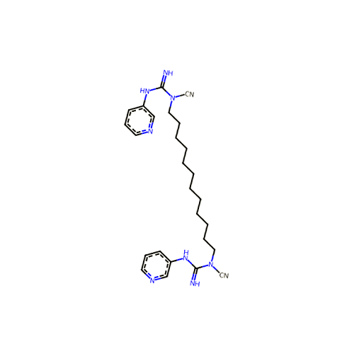 N#CN(CCCCCCCCCCCCN(C#N)C(=N)Nc1cccnc1)C(=N)Nc1cccnc1